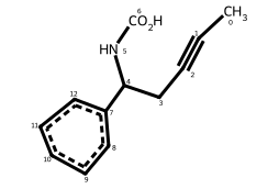 CC#CCC(NC(=O)O)c1ccccc1